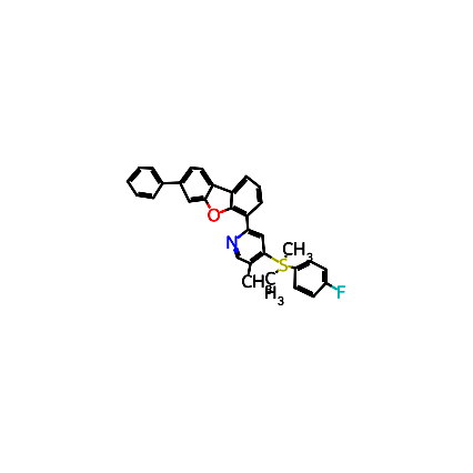 Cc1cnc(-c2cccc3c2oc2cc(-c4ccccc4)ccc23)cc1S(C)(C)c1ccc(F)cc1